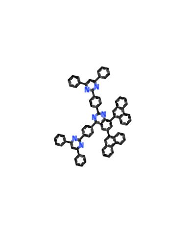 c1ccc(-c2cc(-c3ccccc3)nc(-c3ccc(-c4nc(-c5ccc(-c6nc(-c7ccccc7)cc(-c7ccccc7)n6)cc5)c5cc(-c6cc7ccccc7c7ccccc67)cc(-c6cc7ccccc7c7ccccc67)c5n4)cc3)n2)cc1